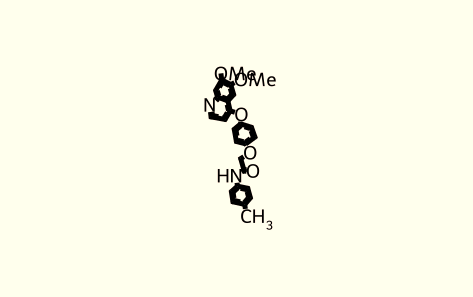 COc1cc2nccc(Oc3ccc(OCC(=O)Nc4ccc(C)cc4)cc3)c2cc1OC